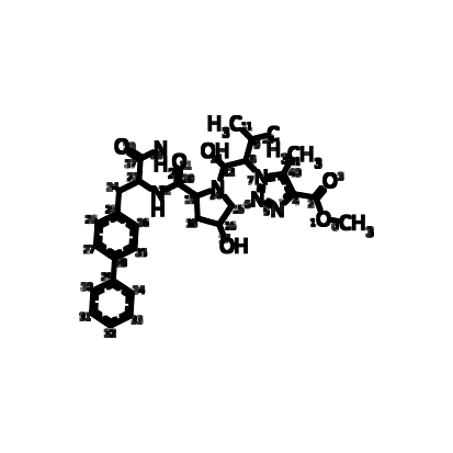 COC(=O)c1nnn(C(C(C)C)C(O)N2CC(O)CC2C(=O)NC(Cc2ccc(-c3ccccc3)cc2)C(N)=O)c1C